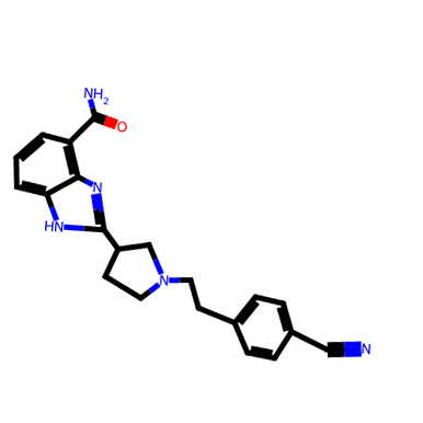 N#Cc1ccc(CCN2CCC(c3nc4c(C(N)=O)cccc4[nH]3)C2)cc1